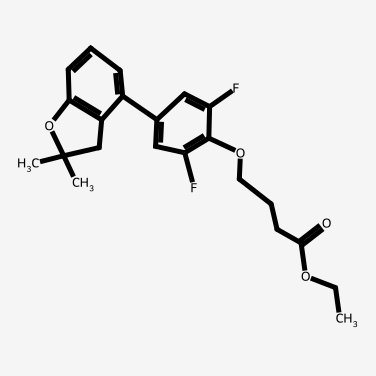 CCOC(=O)CCCOc1c(F)cc(-c2cccc3c2CC(C)(C)O3)cc1F